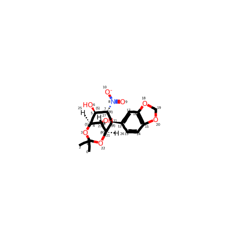 CC1(C)O[C@H]2[C@@H](O)[C@H]([N+](=O)[O-])[C@@H](c3ccc4c(c3)OCO4)[C@@H](O1)[C@H]2O